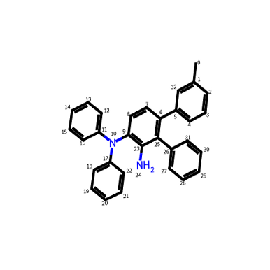 Cc1cccc(-c2ccc(N(c3ccccc3)c3ccccc3)c(N)c2-c2ccccc2)c1